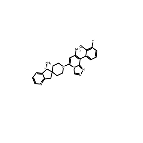 Nc1cc(N2CCC3(CC2)Cc2ncccc2[C@H]3N)n2cnnc2c1-c1cccc(Cl)c1Cl